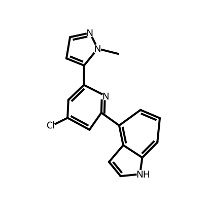 Cn1nccc1-c1cc(Cl)cc(-c2cccc3[nH]ccc23)n1